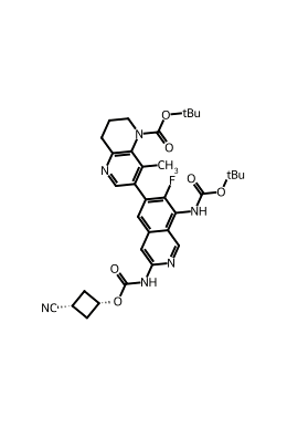 Cc1c(-c2cc3cc(NC(=O)O[C@H]4C[C@@H](C#N)C4)ncc3c(NC(=O)OC(C)(C)C)c2F)cnc2c1N(C(=O)OC(C)(C)C)CCC2